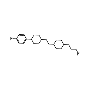 FC=CCC1CCC(CCC2CCC(c3ccc(F)cc3)CC2)CC1